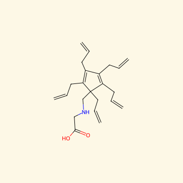 C=CCC1=C(CC=C)C(CC=C)(CNCC(=O)O)C(CC=C)=C1CC=C